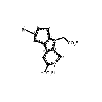 CCOC(=O)Cn1c2ccc(Br)cc2c2cc(C(=O)OCC)ncc21